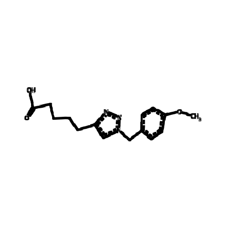 COc1ccc(Cn2cc(CCCCC(=O)O)nn2)cc1